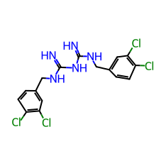 N=C(NCc1ccc(Cl)c(Cl)c1)NC(=N)NCc1ccc(Cl)c(Cl)c1